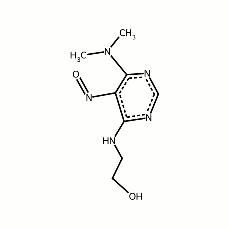 CN(C)c1ncnc(NCCO)c1N=O